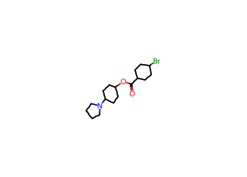 O=C(OC1CCC(N2CCCC2)CC1)C1CCC(Br)CC1